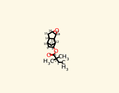 CCC(C)(C)C(=O)OC1CC2CC1C1C2CC2OC21